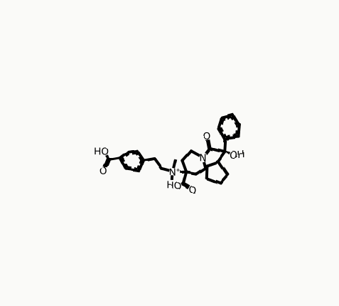 C[N+](C)(CCc1ccc(C(=O)O)cc1)C1(C(=O)O)CCN(C(=O)[C@](O)(c2ccccc2)C2CCCC2)CC1